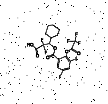 O=C(OC(C1CCCCC1)C(F)(F)C(=O)O)c1cc(I)cc(I)c1OC(=O)C(F)(F)F